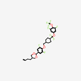 C=CCCC1COC(c2cc(F)c(OCC3CCC(C(F)(F)Oc4cc(F)c(OC(F)(F)F)c(F)c4)CC3)c(F)c2)OC1